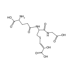 NC(CCC(=O)NC(CSC=C(O)C(=O)O)C(=O)NCC(=O)O)C(=O)O